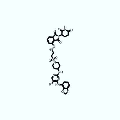 O=C1CCC(N2C(=O)c3cccc(ONCCS(=O)(=O)N4CCC(Nc5ncc(Br)c(Nc6cccc7c6OCO7)n5)CC4)c3C2=O)C(=O)N1